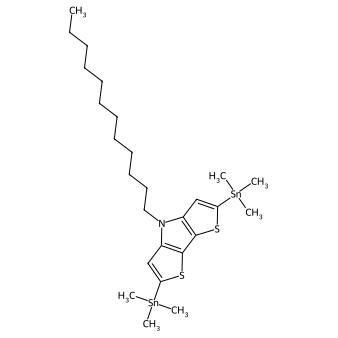 CCCCCCCCCCCCn1c2c[c]([Sn]([CH3])([CH3])[CH3])sc2c2s[c]([Sn]([CH3])([CH3])[CH3])cc21